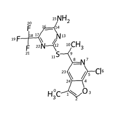 Cc1coc2c(Cl)nc(C(C)Sc3nc(N)cc(C(F)(F)F)n3)cc12